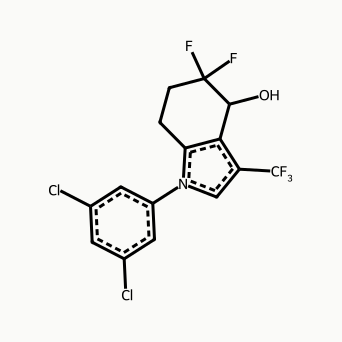 OC1c2c(C(F)(F)F)cn(-c3cc(Cl)cc(Cl)c3)c2CCC1(F)F